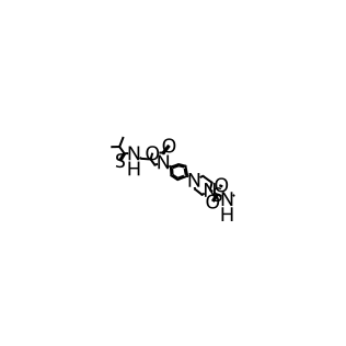 CNS(=O)(=O)N1CCN(c2ccc(N3CC(CNC(=S)C(C)C)OC3=O)cc2)CC1